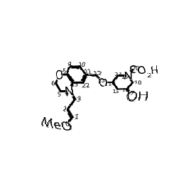 COCCCN1CCOc2ccc(COC3CC(O)CN(C(=O)O)C3)cc21